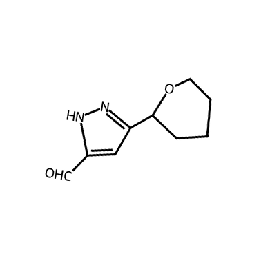 O=Cc1cc(C2CCCCO2)n[nH]1